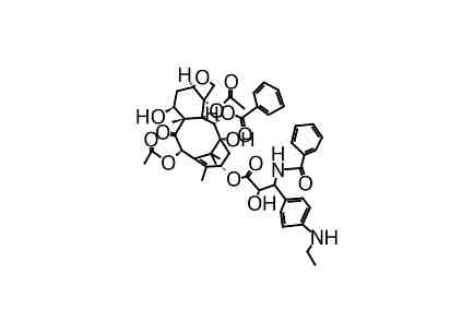 CCNc1ccc(C(NC(=O)c2ccccc2)[C@@H](O)C(=O)O[C@H]2C[C@@]3(O)[C@@H](OC(=O)c4ccccc4)[C@@H]4[C@]5(OC(C)=O)CO[C@@H]5C[C@H](O)[C@@]4(C)C(=O)[C@H](OC(C)=O)C(=C2C)C3(C)C)cc1